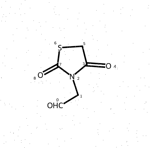 O=CCN1C(=O)CSC1=O